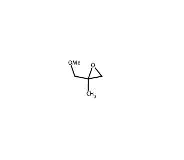 [CH2]OCC1(C)CO1